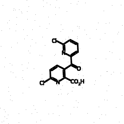 O=C(c1cccc(Cl)n1)c1ccc(Cl)nc1C(=O)O